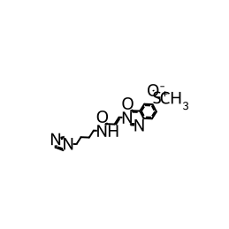 C[S+]([O-])c1ccc2ncn(/C=C/C(=O)NCCCCn3ccnc3)c(=O)c2c1